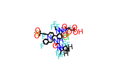 C[C@H](CC(=O)O)C(=O)N(c1nn(CC(F)(F)F)c2c(-c3ccc(C#CC(C)(C)S(C)(=O)=O)nc3[C@H](Cc3cc(F)cc(F)c3)NC(=O)Cn3nc(C(F)(F)F)c4c3C(F)(F)[C@@H]3C[C@H]43)ccc(Cl)c12)S(C)(=O)=O